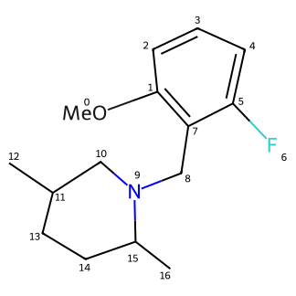 COc1cccc(F)c1CN1CC(C)CCC1C